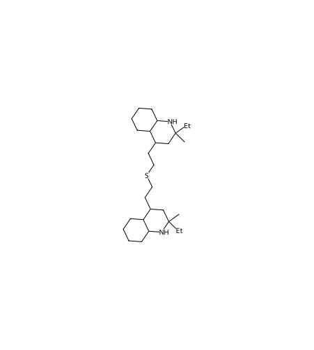 CCC1(C)CC(CCSCCC2CC(C)(CC)NC3CCCCC23)C2CCCCC2N1